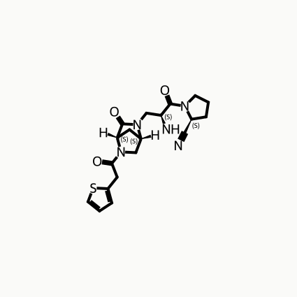 N#C[C@@H]1CCCN1C(=O)[C@@H](N)CN1C(=O)[C@@H]2C[C@H]1CN2C(=O)Cc1cccs1